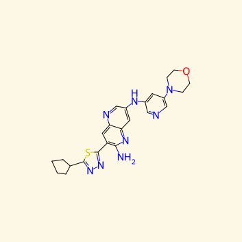 Nc1nc2cc(Nc3cncc(N4CCOCC4)c3)cnc2cc1-c1nnc(C2CCCC2)s1